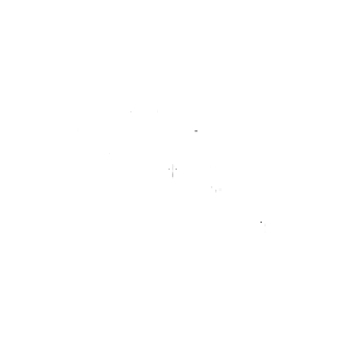 CC(C)(C)c1ccc2cc(C(=O)NC3CCNC3)[nH]c2c1